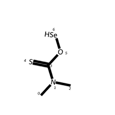 CN(C)C(=S)O[SeH]